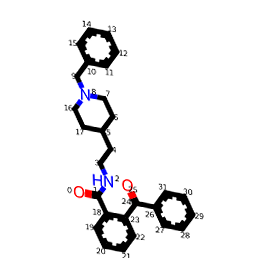 O=C(NCCC1CCN(Cc2ccccc2)CC1)c1ccccc1C(=O)c1ccccc1